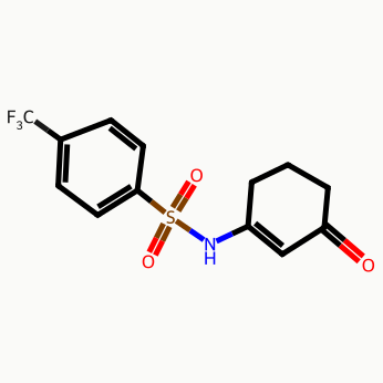 O=C1C=C(NS(=O)(=O)c2ccc(C(F)(F)F)cc2)CCC1